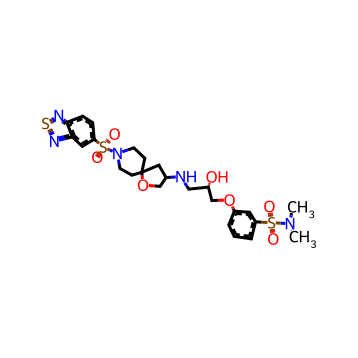 CN(C)S(=O)(=O)c1cccc(OC[C@@H](O)CNC2COC3(CCN(S(=O)(=O)c4ccc5nsnc5c4)CC3)C2)c1